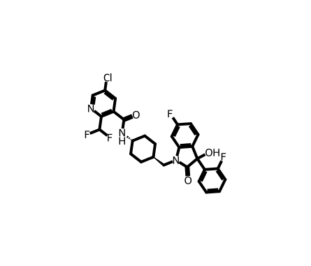 O=C(N[C@H]1CC[C@H](CN2C(=O)C(O)(c3ccccc3F)c3ccc(F)cc32)CC1)c1cc(Cl)cnc1C(F)F